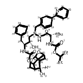 CCC(CC)OC(=O)N[C@H](C(=O)NN(Cc1ccc(-c2ccccn2)cc1)C[C@H](O)[C@H](Cc1ccccc1)NC(=O)OC1C2CC3C(OCC1[C@@H]3C)O2)C(C)(C)C